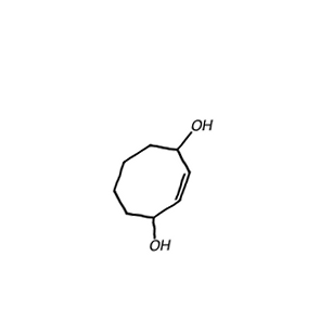 OC1C=CC(O)CCCC1